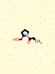 C=CC(=O)N1CCC[C@@H]1CO